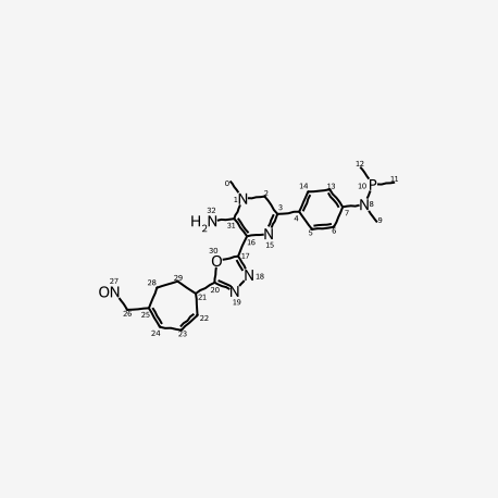 CN1CC(c2ccc(N(C)P(C)C)cc2)=NC(c2nnc(C3C=CC=C(CN=O)CC3)o2)=C1N